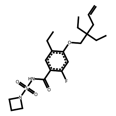 C=CCC(CC)(CC)COc1cc(F)c(C(=O)NS(=O)(=O)N2CCC2)cc1CC